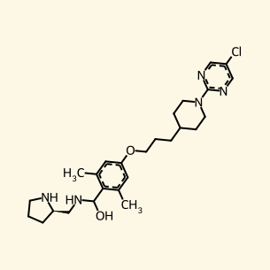 Cc1cc(OCCCC2CCN(c3ncc(Cl)cn3)CC2)cc(C)c1C(O)NC[C@H]1CCCN1